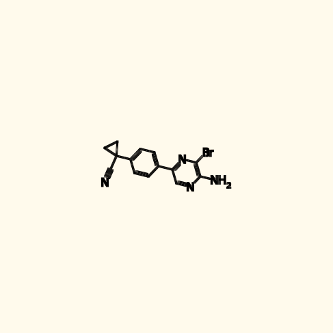 N#CC1(c2ccc(-c3cnc(N)c(Br)n3)cc2)CC1